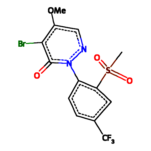 COc1cnn(-c2ccc(C(F)(F)F)cc2S(C)(=O)=O)c(=O)c1Br